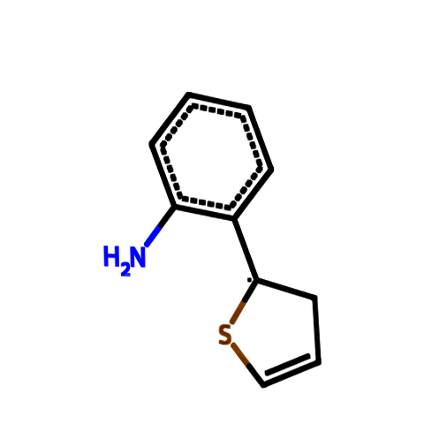 Nc1ccccc1[C]1CC=CS1